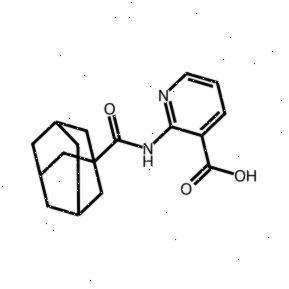 O=C(O)c1cccnc1NC(=O)C12CC3CC(CC(C3)C1)C2